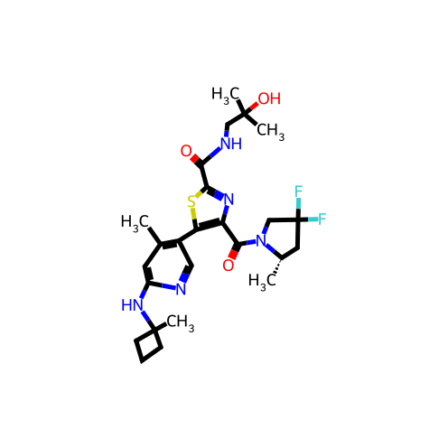 Cc1cc(NC2(C)CCC2)ncc1-c1sc(C(=O)NCC(C)(C)O)nc1C(=O)N1CC(F)(F)C[C@@H]1C